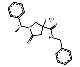 C[C@@H](c1ccccc1)N1CC(C(=O)O)(C(=O)NCc2ccccc2)CC1=O